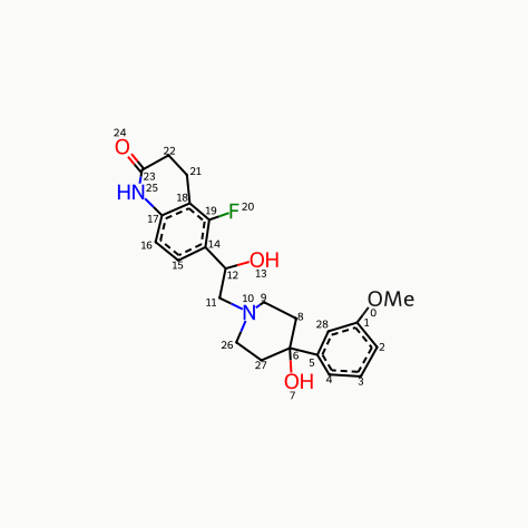 COc1cccc(C2(O)CCN(CC(O)c3ccc4c(c3F)CCC(=O)N4)CC2)c1